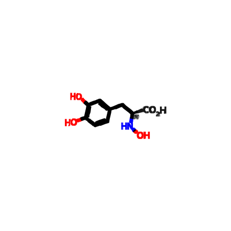 O=C(O)[C@H](Cc1ccc(O)c(O)c1)NO